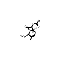 CCC(=O)NC1C(=O)N2C(C(=O)O)C(C)=CS[C@@H]12